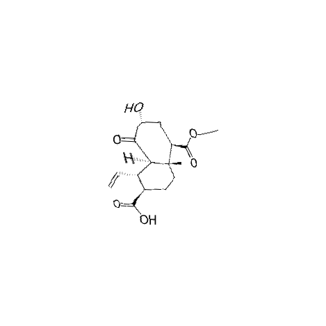 C=C[C@@H]1[C@H]2C(=O)[C@H](O)C[C@@H](C(=O)OC)[C@]2(C)CC[C@H]1C(=O)O